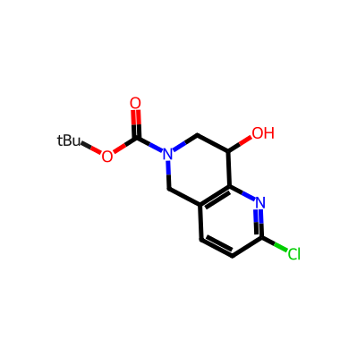 CC(C)(C)OC(=O)N1Cc2ccc(Cl)nc2C(O)C1